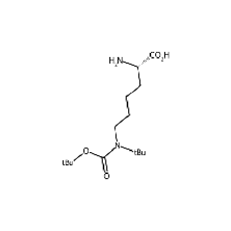 CC(C)(C)OC(=O)N(CCCC[C@H](N)C(=O)O)C(C)(C)C